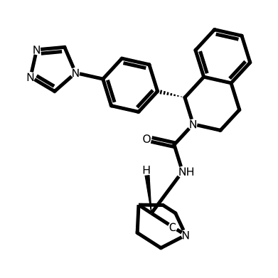 O=C(N[C@@H]1CN2CCC1CC2)N1CCc2ccccc2[C@H]1c1ccc(-n2cnnc2)cc1